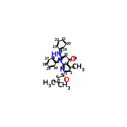 Cc1cc(C(=O)CC(C)C)nc2c1c(=O)cc(Nc1ccccc1)n2-c1ccccc1